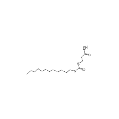 CCCCCCCCCCCCSC(=O)SCCC(=O)O